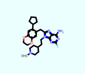 Nc1nc(F)nc2c1nc(Cc1cc3c(cc1C1CCCC1)OCCO3)n2CCC1CCN(C=O)CC1